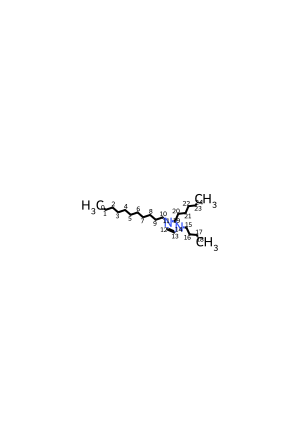 CCCCCCCCCCCN1C=CN(CCCC)C1CCCCC